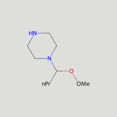 CCCC(OOC)N1CCNCC1